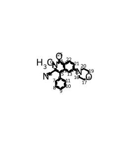 Cn1c(C#N)c(-c2ccccc2)c2cc(N3CCOCC3)ccc2c1=O